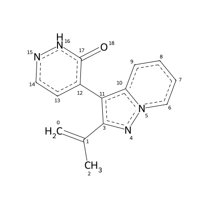 C=C(C)c1nn2ccccc2c1-c1ccn[nH]c1=O